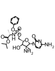 CC(C)OC(=O)[C@H](C)NP(=O)(OC[C@H]1O[C@@H](n2ccc(N)nc2=O)[C@](C)(N)C1O)Oc1ccccc1